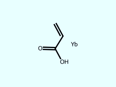 C=CC(=O)O.[Yb]